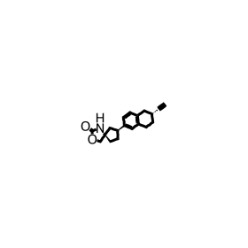 C#C[C@@H]1CCc2cc([C@H]3CC[C@]4(COC(=O)N4)C3)ccc2C1